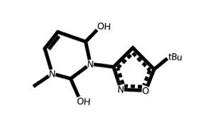 CN1C=CC(O)N(c2cc(C(C)(C)C)on2)C1O